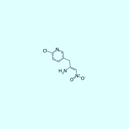 NC(=C[N+](=O)[O-])Cc1ccc(Cl)nc1